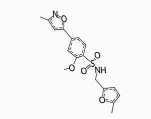 COc1cc(-c2cc(C)no2)ccc1S(=O)(=O)NCc1ccc(C)o1